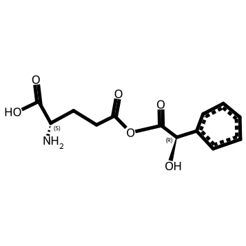 N[C@@H](CCC(=O)OC(=O)[C@H](O)c1ccccc1)C(=O)O